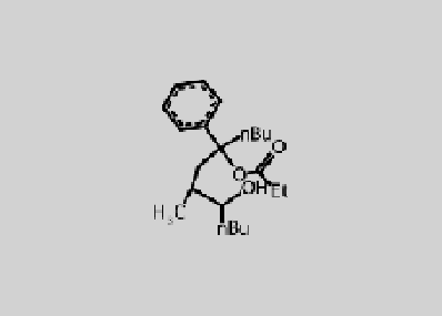 CCCCC(O)C(C)CC(CCCC)(OC(=O)CC)c1ccccc1